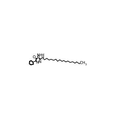 CCCCCCCCCCCCCCCCCCNc1nnc(-c2ccccc2)c(=O)n1N